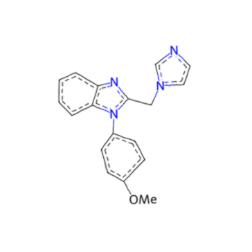 COc1ccc(-n2c(Cn3ccnc3)nc3ccccc32)cc1